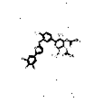 CS[C@H]1OC(c2ccc(C)c(Cc3ccc(-c4cc(F)c(F)c(F)c4)s3)c2)[C@H](C)[C@@H](OC(C)=O)[C@@H]1OC(C)=O